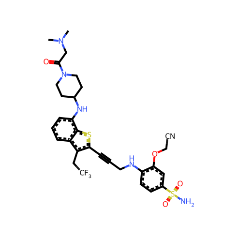 CN(C)CC(=O)N1CCC(Nc2cccc3c(CC(F)(F)F)c(C#CCNc4ccc(S(N)(=O)=O)cc4OCC#N)sc23)CC1